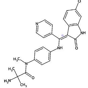 CN(C(=O)C(C)(C)N)c1ccc(N/C(=C2\C(=O)Nc3cc(Cl)ccc32)c2ccncc2)cc1